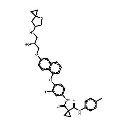 Cc1ccc(NC(=O)C2(C(=O)Nc3ccc(Oc4ccnc5cc(OC[C@@H](O)CNC6COC7(CC7)C6)ccc45)c(F)c3)CC2)cc1